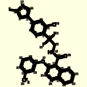 Cn1cc(-c2ccc(C(F)(F)CNC(=O)c3c(Oc4cccc(C(F)(F)F)c4)nnc4ccccc34)c(Cl)c2)cn1